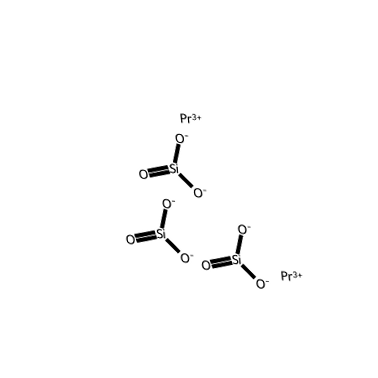 O=[Si]([O-])[O-].O=[Si]([O-])[O-].O=[Si]([O-])[O-].[Pr+3].[Pr+3]